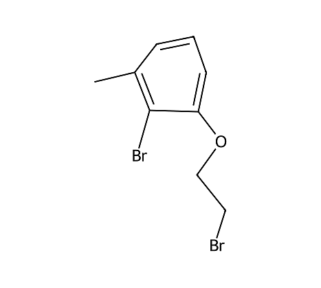 Cc1cccc(OCCBr)c1Br